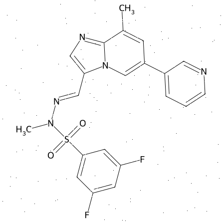 Cc1cc(-c2cccnc2)cn2c(/C=N/N(C)S(=O)(=O)c3cc(F)cc(F)c3)cnc12